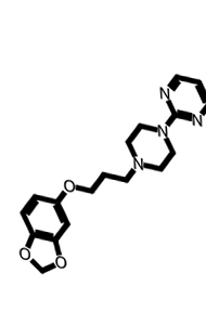 c1cnc(N2CCN(CCCOc3ccc4c(c3)OCO4)CC2)nc1